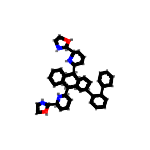 c1ccc(-c2ccccc2-c2ccc3c(-c4cccc(-c5ncco5)n4)c4ccccc4c(-c4cccc(-c5ncco5)n4)c3c2)cc1